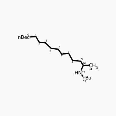 CCCCCCCCCCCCCCCCCCCC(C)NCCCC